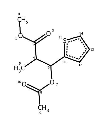 COC(=O)C(C)C(OC(C)=O)c1cccs1